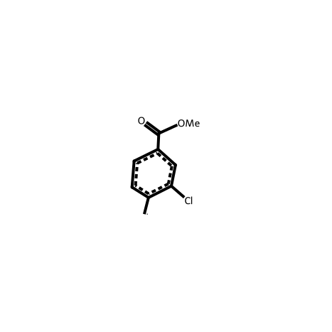 [CH2]c1ccc(C(=O)OC)cc1Cl